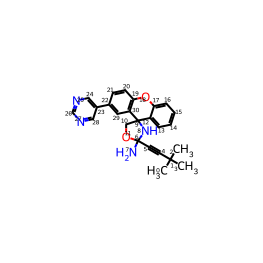 CC(C)(C)C#CC1(N)NC2(CO1)c1ccccc1Oc1ccc(-c3cncnc3)cc12